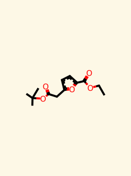 CCOC(=O)c1ccc(CC(=O)OC(C)(C)C)o1